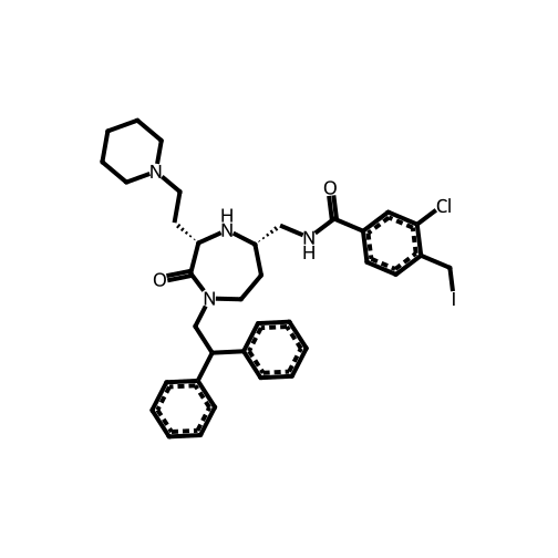 O=C(NC[C@@H]1CCN(CC(c2ccccc2)c2ccccc2)C(=O)[C@H](CCN2CCCCC2)N1)c1ccc(CI)c(Cl)c1